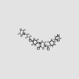 O=C(c1ccc(-c2cnco2)cc1)N1CCN(c2ccc(OCCCN3CCCC3)cc2)C(=O)C1